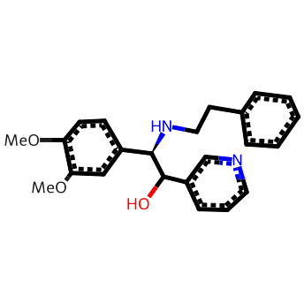 COc1ccc([C@@H](NCCc2ccccc2)C(O)c2cccnc2)cc1OC